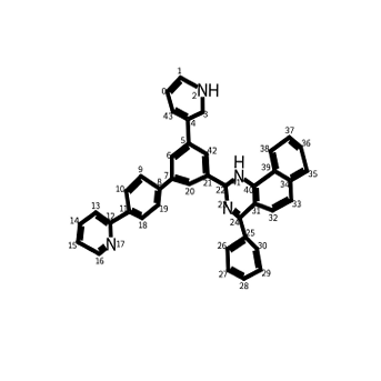 C1=CNCC(c2cc(-c3ccc(-c4ccccn4)cc3)cc(C3N=C(c4ccccc4)c4ccc5ccccc5c4N3)c2)=C1